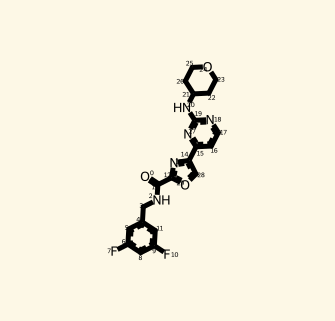 O=C(NCc1cc(F)cc(F)c1)c1nc(-c2ccnc(NC3CCOCC3)n2)co1